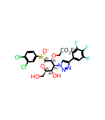 CCOC(=O)CO[C@@H]1[C@@H](n2cc(-c3cc(F)c(F)c(F)c3)nn2)[C@@H](O)[C@@H](CO)O[C@@H]1[S@@+]([O-])c1ccc(Cl)c(Cl)c1